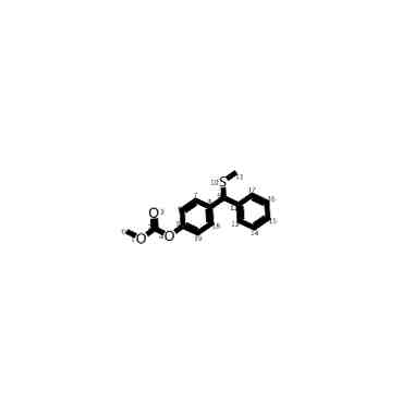 COC(=O)Oc1ccc(C(SC)c2ccccc2)cc1